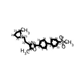 Cc1oc(-c2ccc(-c3ccc(S(C)(=O)=O)cc3)cc2)nc1CCN1CCC[C@H]1C